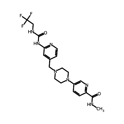 CNC(=O)c1ccc(N2CCN(Cc3ccnc(NC(=O)NCC(F)(F)F)c3)CC2)cn1